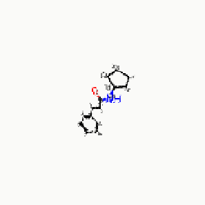 O=C(C=Cc1ccccc1)NC1CCCC1